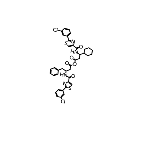 O=C(CC(Cc1ccccc1)NC(=O)c1csc(-c2cccc(Cl)c2)n1)OC(=O)CC(NC(=O)c1csc(-c2cccc(Cl)c2)n1)C1CCCCC1